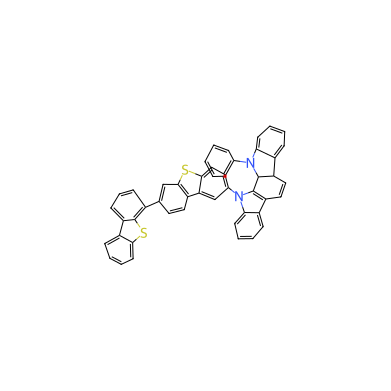 C1=CC2c3ccccc3N(c3ccccc3)C2c2c1c1ccccc1n2-c1ccc2sc3cc(-c4cccc5c4sc4ccccc45)ccc3c2c1